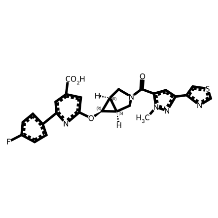 Cn1nc(-c2cscn2)cc1C(=O)N1C[C@@H]2[C@H](C1)[C@@H]2Oc1cc(C(=O)O)cc(-c2ccc(F)cc2)n1